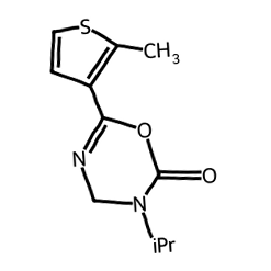 Cc1sccc1C1=NCN(C(C)C)C(=O)O1